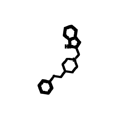 c1ccc(CCC2CCN(Cc3cc4ccccc4[nH]3)CC2)cc1